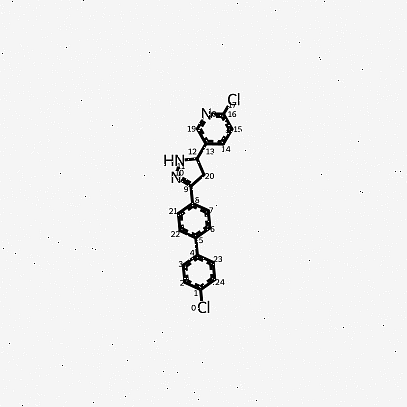 Clc1ccc(-c2ccc(C3=NNC(c4ccc(Cl)nc4)C3)cc2)cc1